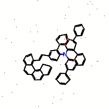 C1=Cc2ccc3ccc4cccc(C=Cc5ccc(N(c6cccc(-c7ccccc7)c6)c6ccc(-c7ccccc7)cc6-c6ccccc6)c(-c6ccccc6)c5)c4c3c2CC1